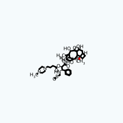 CC1=C2[C@@H](O)C(=O)[C@@]3(C)[C@H]([C@H](C)[C@](O)(C[C@@H]1OC(=O)[C@H](OC(=O)CCCN1CCN(C)CC1)[C@@H](NCB=O)c1ccccc1)C2(C)C)[C@]1(C)CC[C@@H]1C[C@@H]3O